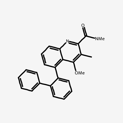 CNC(=O)c1nc2cccc(-c3ccccc3-c3ccccc3)c2c(OC)c1C